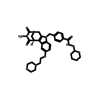 CN1C(=O)[C@H]2CN(Cc3c2c2cc(OCCN4CCOCC4)ccc2n3Cc2ccc(C(=O)NOC3CCCCO3)cc2)C1=O